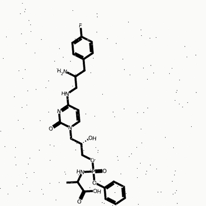 CC(NP(=O)(OC[C@@H](O)Cn1ccc(NCC(N)Cc2ccc(F)cc2)nc1=O)Oc1ccccc1)C(=O)O